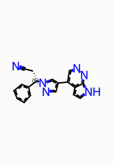 N#CC[C@@H](c1ccccc1)n1cc(-c2cnnc3[nH]ccc23)cn1